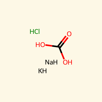 Cl.O=C(O)O.[KH].[NaH]